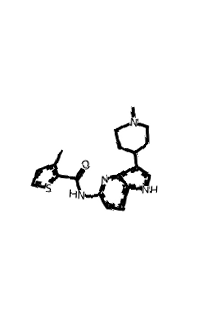 Cc1ccsc1C(=O)Nc1ccc2[nH]cc(C3CCN(C)CC3)c2n1